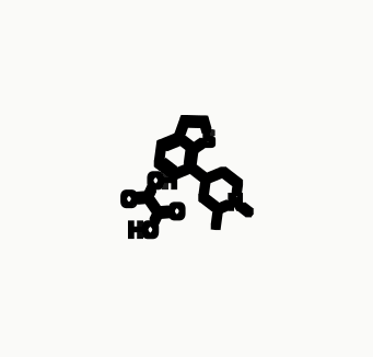 CC1CC(c2cccc3ccsc23)CCN1C.O=C(O)C(=O)O